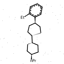 CCC[C@H]1CC[C@H]([C@H]2CC[C@H](c3ccccc3CC)CC2)CC1